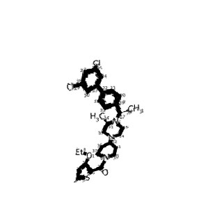 CCOc1ccsc1C(=O)N1CCC(N2CCN([C@@H](C)c3ccc(-c4cc(Cl)cc(Cl)c4)cc3)[C@H](C)C2)CC1